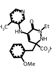 CCN1NC(Cc2ccccc2OC)(C(=O)O)C=C(Nc2cnccc2C)C1=O